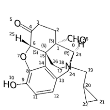 O=C[C@@]12CCC(=O)[C@H]3Oc4c(O)ccc5c4[C@]31CCN(CC1CC1)[C@@H]2C5